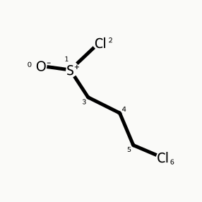 [O-][S+](Cl)CCCCl